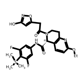 CCOc1ccc2c(n1)CCN(C(=O)Cc1cc(O)no1)[C@H]2C(=O)Nc1cc(F)c(S(C)(C)C)c(F)c1